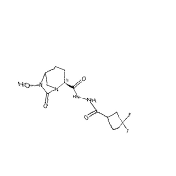 O=C(NNC(=O)[C@@H]1CCC2CN1C(=O)N2O)C1CC(F)(F)C1